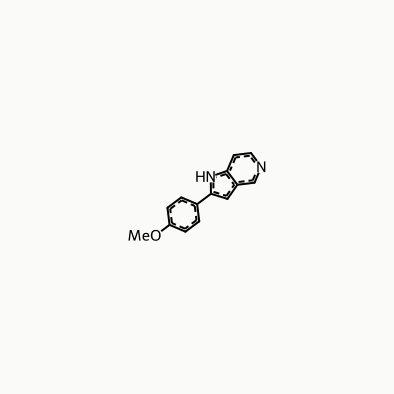 COc1ccc(-c2cc3cnccc3[nH]2)cc1